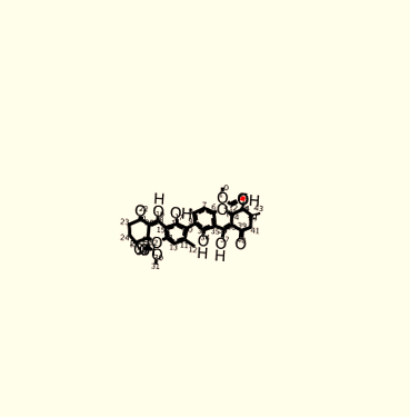 COC(=O)[C@@]12Oc3ccc(-c4c(C)cc5c(c4O)C(O)=C4C(=O)CC[C@H](O)[C@@]4(C(=O)OC)O5)c(O)c3C(O)=C1C(=O)C[C@H](C)[C@H]2O